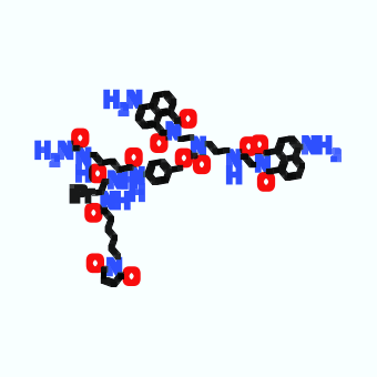 CC(C)C(NC(=O)CCCCCN1C(=O)C=CC1=O)C(=O)N[C@@H](CCCNC(N)=O)C(=O)Nc1ccc(COC(=O)N(CCCNC(=O)CN2C(=O)c3cccc4c(N)ccc(c34)C2=O)CCN2C(=O)c3cccc4c(N)ccc(c34)C2=O)cc1